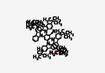 CC(C)(C)c1ccc2c(c1)c1ccccc1n2-c1cc(-n2c3ccc(C(C)(C)C)cc3c3cc(C(C)(C)C)ccc32)c(-n2c3ccc(C(C)(C)C)cc3c3cc(C(C)(C)C)ccc32)c(C#N)c1-n1c2ccc(C(C)(C)C)cc2c2cc(C(C)(C)C)ccc21